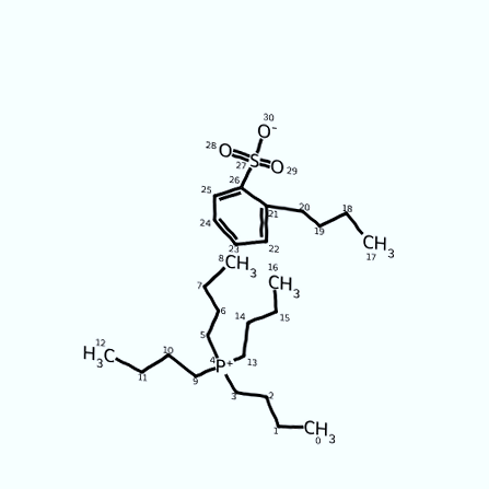 CCCC[P+](CCCC)(CCCC)CCCC.CCCCc1ccccc1S(=O)(=O)[O-]